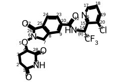 O=C1CCC(ON2Cc3cc(C(=O)N[C@H](c4ncccc4Cl)C(F)(F)F)ccc3C2=O)C(=O)N1